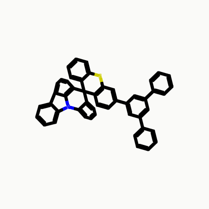 c1ccc(-c2cc(-c3ccccc3)cc(-c3ccc4c(c3)Sc3ccccc3C43c4ccccc4-n4c5ccccc5c5cccc3c54)c2)cc1